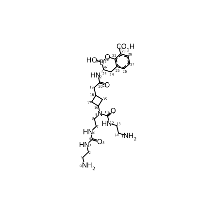 NCCNC(=O)NCCN(C(=O)NCCN)C1CC(CC(=O)N[C@H]2Cc3cccc(C(=O)O)c3OB2O)C1